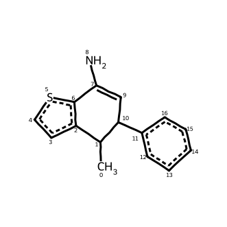 CC1c2ccsc2C(N)=CC1c1ccccc1